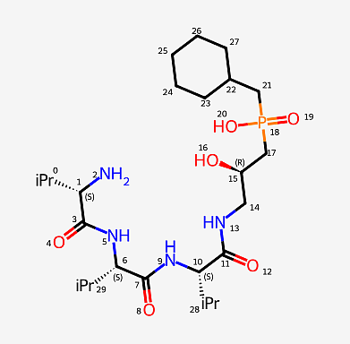 CC(C)[C@H](N)C(=O)N[C@H](C(=O)N[C@H](C(=O)NC[C@@H](O)CP(=O)(O)CC1CCCCC1)C(C)C)C(C)C